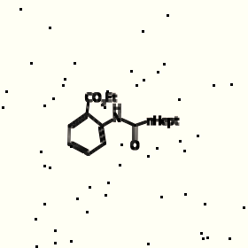 CCCCCCCC(=O)Nc1ccccc1C(=O)OCC